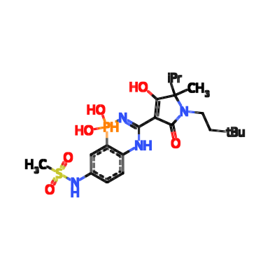 CC(C)C1(C)C(O)=C(C2=N[PH](O)(O)c3cc(NS(C)(=O)=O)ccc3N2)C(=O)N1CCC(C)(C)C